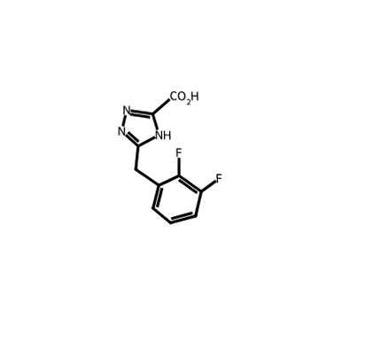 O=C(O)c1nnc(Cc2cccc(F)c2F)[nH]1